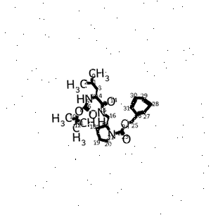 CC(C)C[C@H](NC(=O)OC(C)(C)C)C(=O)NC[C@@H]1CCCN1C(=O)OCc1ccccc1